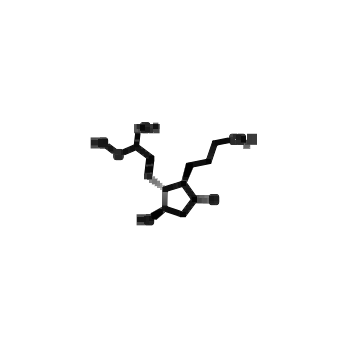 CCCCCCCCC(C=C[C@H]1[C@H](O)CC(=O)[C@@H]1CCCC(=O)O)OO